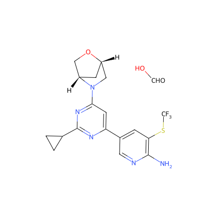 Nc1ncc(-c2cc(N3C[C@@H]4C[C@H]3CO4)nc(C3CC3)n2)cc1SC(F)(F)F.O=CO